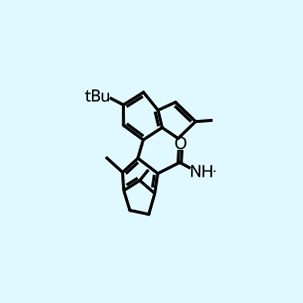 CC1=Cc2cc(C(C)(C)C)cc(-c3c(C)c4c(C)c(c3C([NH])=O)CC4)c2C1